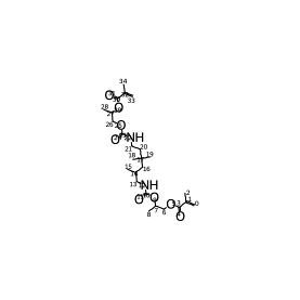 C=C(C)C(=O)OCC(C)OC(=O)NCC(C)CC(C)(C)CCNC(=O)OCC(C)OC(=O)C(=C)C